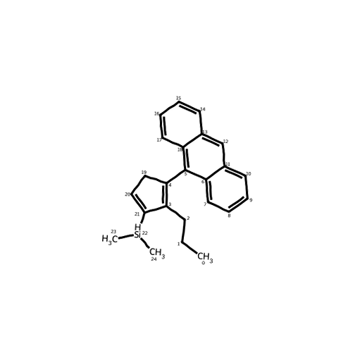 CCCC1=C(c2c3ccccc3cc3ccccc23)CC=C1[SiH](C)C